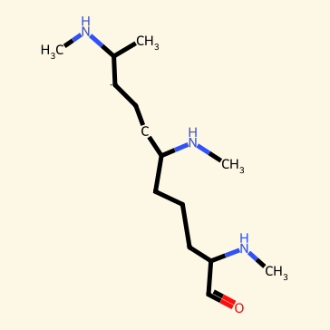 CNC(C)[CH]CCC(CCCC(C=O)NC)NC